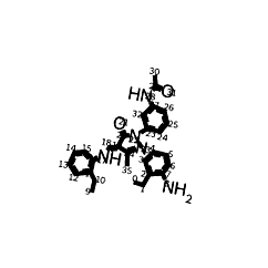 CCc1ccccc1N.CCc1ccccc1N/C=C1/C(=O)N(c2cccc(NC(C)=O)c2)N=C1C